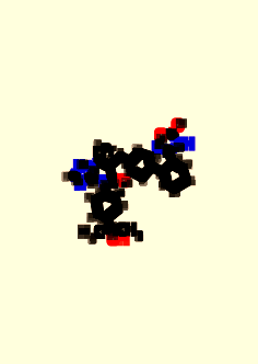 CCCc1c(Cc2ccc(-c3ccccc3-c3noc(=O)[nH]3)cc2)c(=O)n(-c2ccc(C(C)(C)O)cc2)c2ncnn12